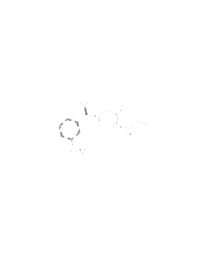 COc1cccc(C(=O)NC[C@H](N[C@@H](CC(C)C)C(=O)O)C(=O)O)c1